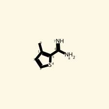 Cc1ccsc1C(=N)N